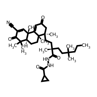 CCCC(C)(C)CC[C@@](C)(CC[C@]1(C)CC(=O)C=C2[C@@]3(C)C=C(C#N)C(=O)C(C)(C)[C@@H]3CC[C@]21C)C(=O)NNC(=O)C1CC1